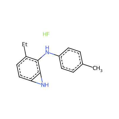 CCc1ccc2c(c1Nc1ccc(C)cc1)N2.F